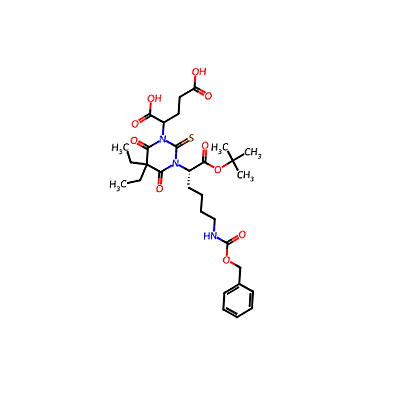 CCC1(CC)C(=O)N(C(CCC(=O)O)C(=O)O)C(=S)N([C@@H](CCCCNC(=O)OCc2ccccc2)C(=O)OC(C)(C)C)C1=O